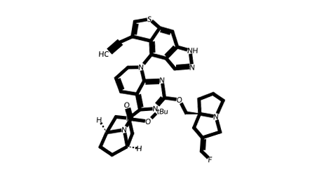 C#Cc1csc2cc3[nH]ncc3c(N3CC=Cc4c(N5C[C@H]6CC[C@@H](C5)N6C(=O)OC(C)(C)C)nc(OC[C@@]56CCCN5C/C(=C\F)C6)nc43)c12